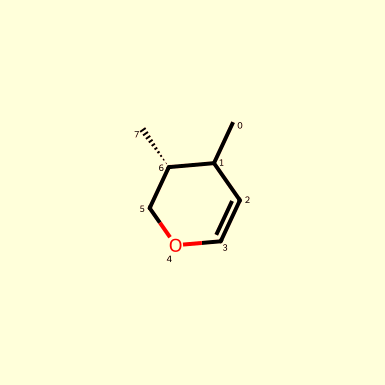 CC1C=COC[C@@H]1C